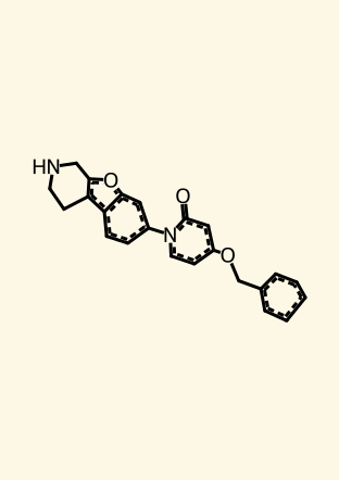 O=c1cc(OCc2ccccc2)ccn1-c1ccc2c3c(oc2c1)CNCC3